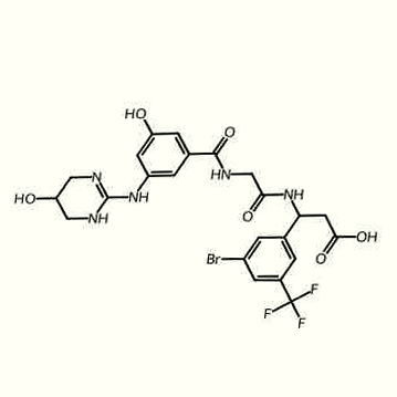 O=C(O)CC(NC(=O)CNC(=O)c1cc(O)cc(NC2=NCC(O)CN2)c1)c1cc(Br)cc(C(F)(F)F)c1